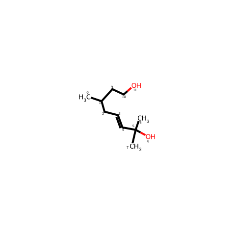 CC(CC=CC(C)(C)O)CCO